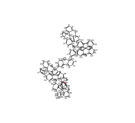 c1ccc2c(c1)Sc1ccccc1C21c2ccccc2-c2ccc(N(c3ccc(-c4cccc5c4oc4ccc(-c6cccc7c6Sc6ccccc6C76c7ccccc7-c7ccc(N(c8ccc9c(c8)C8(c%10ccccc%10Sc%10ccccc%108)c8ccccc8-9)c8cccc9sc%10ccccc%10c89)cc76)cc45)cc3)c3ccc4c(c3)C3(c5ccccc5Sc5ccccc53)c3ccccc3-4)cc21